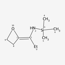 CCC(N[Si](C)(C)C)=C1CCO1